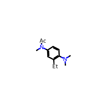 CCc1cc(N(C)C(C)=O)ccc1N(C)C